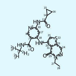 [2H]C([2H])([2H])NC(=O)c1cnc(NC(=O)C2CC2)cc1Nc1csc2cnn(CC)c(=O)c12